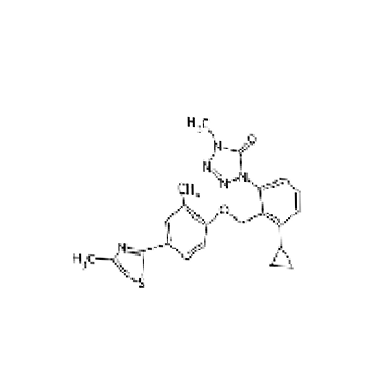 Cc1csc(-c2ccc(OCc3c(C4CC4)cccc3-n3nnn(C)c3=O)c(C)c2)n1